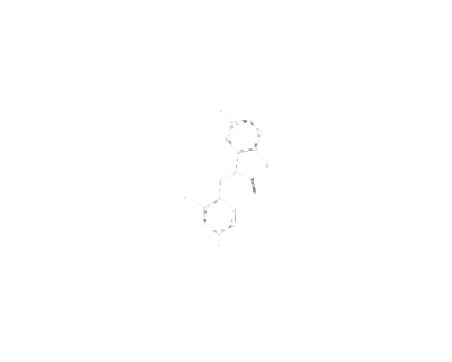 O=C1Nc2ccc(I)cc2C1=Cc1ccc(O)cc1O